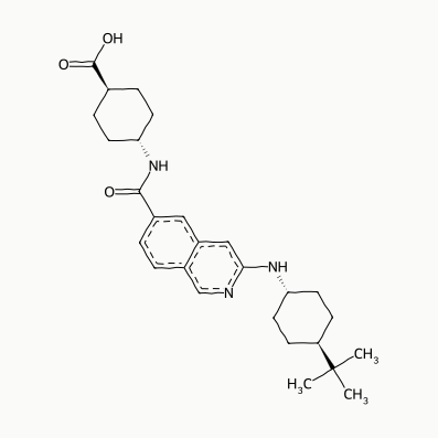 CC(C)(C)[C@H]1CC[C@H](Nc2cc3cc(C(=O)N[C@H]4CC[C@H](C(=O)O)CC4)ccc3cn2)CC1